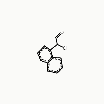 O=CC(Cl)c1cccc2ccccc12